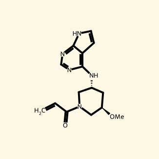 C=CC(=O)N1C[C@H](Nc2ncnc3[nH]ccc23)C[C@@H](OC)C1